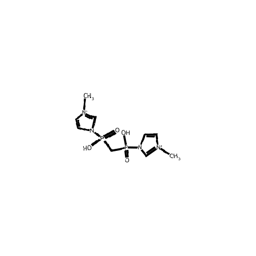 C[n+]1ccn(P(=O)(O)CP(=O)(O)n2cc[n+](C)c2)c1